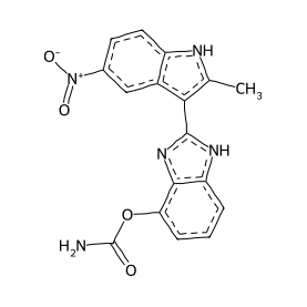 Cc1[nH]c2ccc([N+](=O)[O-])cc2c1-c1nc2c(OC(N)=O)cccc2[nH]1